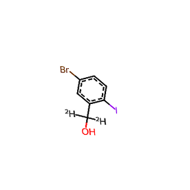 [2H]C([2H])(O)c1cc(Br)ccc1I